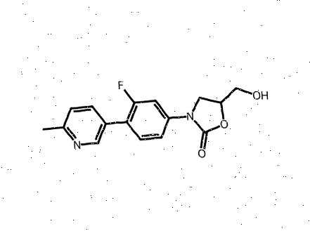 Cc1ccc(-c2ccc(N3CC(CO)OC3=O)cc2F)cn1